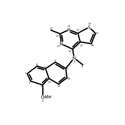 COc1cccc2cc(N(C)c3nc(C)nc4sccc34)ccc12